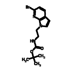 CC(C)(C)OC(=O)NCCn1ccc2ccc(Br)nc21